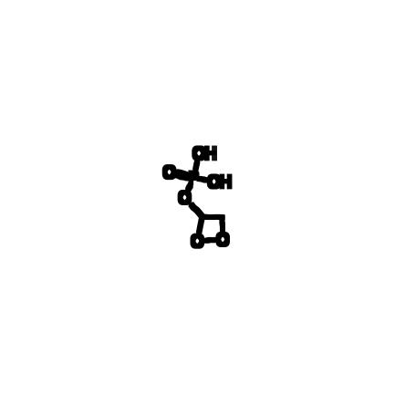 O=P(O)(O)OC1COO1